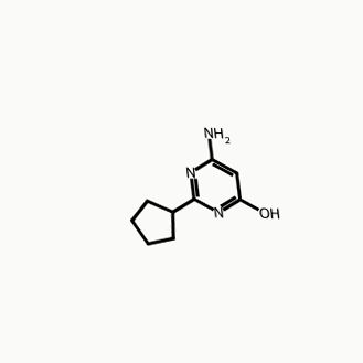 Nc1cc(O)nc(C2CCCC2)n1